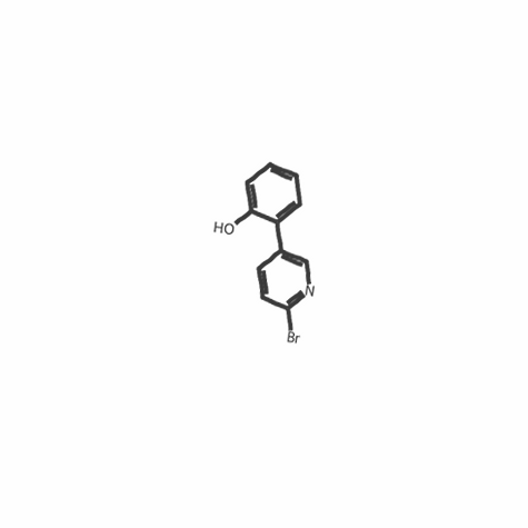 Oc1ccccc1-c1ccc(Br)nc1